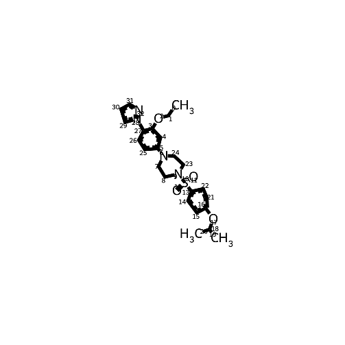 CCOc1cc(N2CCN(S(=O)(=O)c3ccc(OC(C)C)cc3)CC2)ccc1-n1cccn1